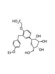 CCOc1ccc(Cc2cc([C@@H]3S[C@H](CO)[C@@H](O)[C@H](O)[C@H]3O)ccc2OCC(=O)O)cc1